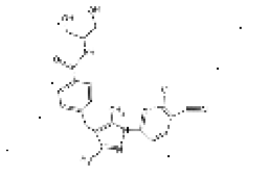 Cc1nn(-c2ccc(C#N)c(Cl)c2)c(C)c1Cc1ccc(C(=O)NC(CO)CO)cc1